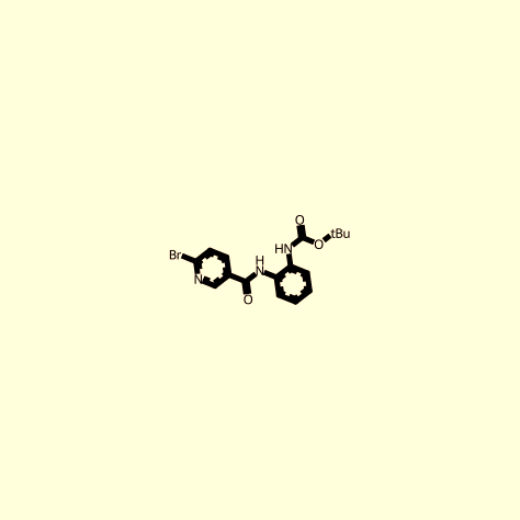 CC(C)(C)OC(=O)Nc1ccccc1NC(=O)c1ccc(Br)nc1